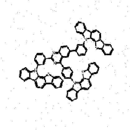 c1cc(-c2ccc3nc(-c4cccc(-n5c6ccccc6c6ccc7c8ccccc8sc7c65)c4)nc(-c4ccc(-n5c6ccccc6c6ccc7c8ccccc8sc7c65)cc4)c3c2)cc(-n2c3ccccc3c3ccc4c5ccccc5sc4c32)c1